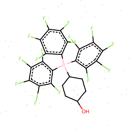 OC1CCC([B-](c2c(F)c(F)c(F)c(F)c2F)(c2c(F)c(F)c(F)c(F)c2F)c2c(F)c(F)c(F)c(F)c2F)CC1